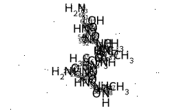 CC(C)C[C@H](NC(=O)CNC(=O)[C@H](CC(C)C)NC(=O)[C@H](CCCC(N)=O)NC(=O)CNC(=O)[C@@H]1C[C@@H](C)CN1)C(=O)N[C@@H](C)C(=O)NCC(=O)N1CCC[C@H]1C(=O)N[C@@H](CCCCN)C(=O)O